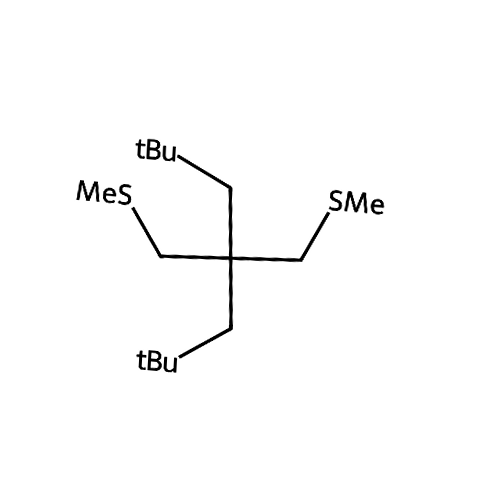 CSCC(CSC)(CC(C)(C)C)CC(C)(C)C